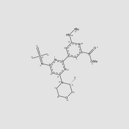 COC(=O)c1cc(-c2nc(N=S(C)(C)=O)cc(N3CCOC[C@H]3C)n2)cc(NC(C)(C)C)n1